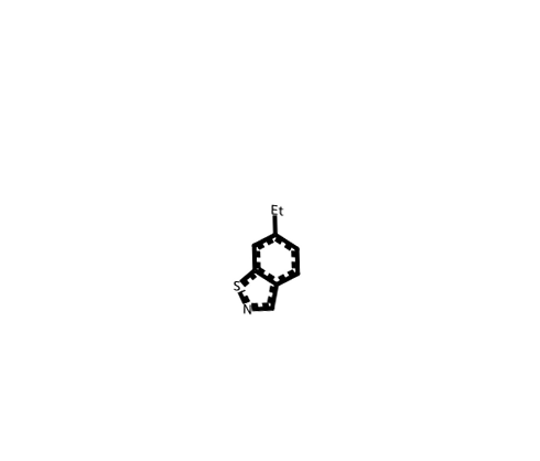 CCc1ccc2cnsc2c1